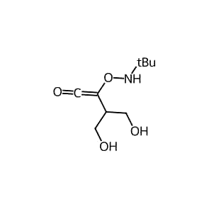 CC(C)(C)NOC(=C=O)C(CO)CO